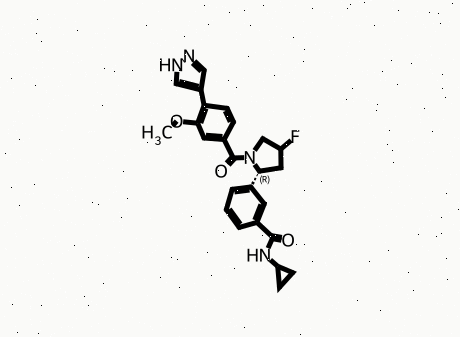 COc1cc(C(=O)N2CC(F)C[C@@H]2c2cccc(C(=O)NC3CC3)c2)ccc1-c1cn[nH]c1